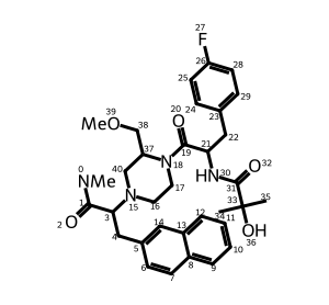 CNC(=O)C(Cc1ccc2ccccc2c1)N1CCN(C(=O)C(Cc2ccc(F)cc2)NC(=O)C(C)(C)O)C(COC)C1